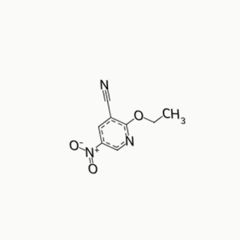 CCOc1ncc([N+](=O)[O-])cc1C#N